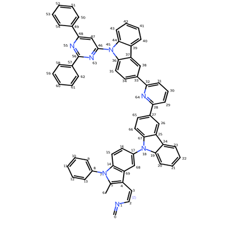 C=N/C=C\c1c(C)n(-c2ccccc2)c2ccc(-n3c4ccccc4c4cc(-c5cccc(-c6ccc7c(c6)c6ccccc6n7-c6cc(-c7ccccc7)nc(-c7ccccc7)n6)n5)ccc43)cc12